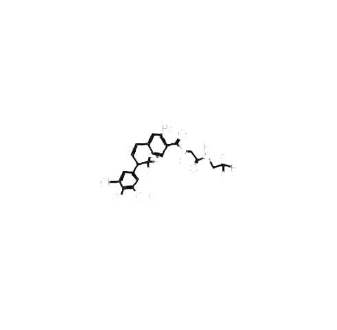 Cc1cc(C(/C=C\c2ccc(C(=O)NCC(=O)NCC(F)(F)F)c(Br)c2)C(F)(F)F)cc(Cl)c1Cl